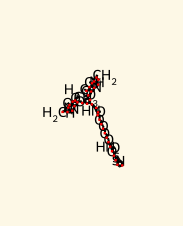 C=C1C[C@H]2C=Nc3cc(OCc4cc(C#CCNC(=O)CCOCCOCCOCCOCCNC(=O)OCCSSc5ccccn5)cc(COc5cc6c(cc5OC)C(=O)N5CC(=C)C[C@H]5C=N6)c4)c(OC)cc3C(=O)N2C1